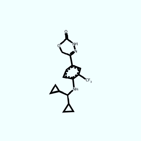 O=C1NN=C(c2ccc(NC(C3CC3)C3CC3)c(C(F)(F)F)c2)CO1